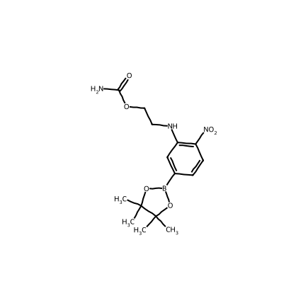 CC1(C)OB(c2ccc([N+](=O)[O-])c(NCCOC(N)=O)c2)OC1(C)C